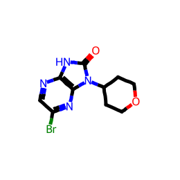 O=c1[nH]c2ncc(Br)nc2n1C1CCOCC1